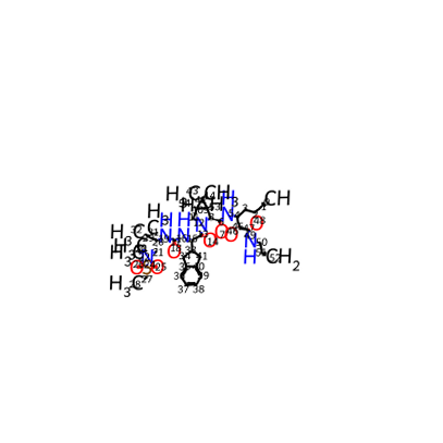 C#CCCC(NC(=O)[C@@H]1[C@@H]2[C@H](CN1C(=O)[C@@H](NC(=O)N[C@H](CN(C)S(=O)(=O)CC)C(C)(C)C)C1Cc3ccccc3C1)C2(C)C)C(=O)C(=O)NCC=C